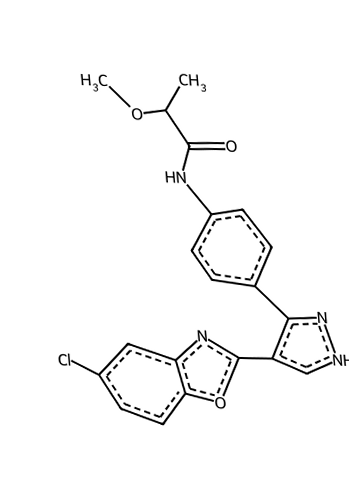 COC(C)C(=O)Nc1ccc(-c2n[nH]cc2-c2nc3cc(Cl)ccc3o2)cc1